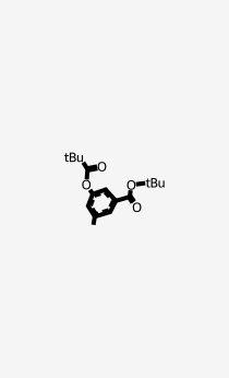 Cc1cc(OC(=O)C(C)(C)C)cc(C(=O)OC(C)(C)C)c1